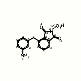 Nc1cccc(Cc2cccc3c2C(=O)N(S(=O)(=O)O)C3=O)c1